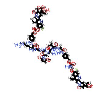 C=C1OCc2c(cc3n(c2=O)Cc2c-3nc3cc(F)c(OCNC(=O)OCc4ccc(NC(=O)[C@H](C)NC(=O)[C@@H](NC(=O)CN(CCN5C(=O)C=CC5=O)CC(=O)NCC(=O)N[C@@H](CCCCN)C(=O)Nc5ccc(COC(=O)Oc6cc7c(CC)c8c(nc7cc6F)-c6cc7c(c(=O)n6C8)COC(=O)[C@]7(O)CC)cc5)C(C)C)cc4)cc3c2CC)[C@@]1(O)CC